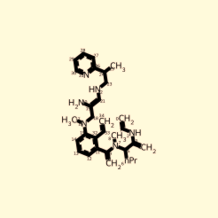 C=CNC(=C)C(CCC)N(C)C(=C)c1cccc(N(C)C/C(N)=C/NCC(C)c2ccccn2)c1C=C